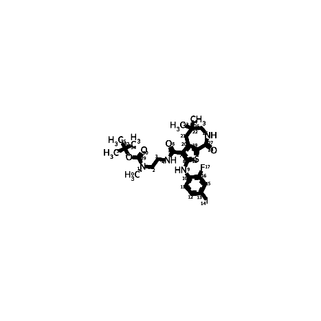 CN(CCNC(=O)c1c(Nc2ccc(I)cc2F)sc2c1CC(C)(C)CNC2=O)C(=O)OC(C)(C)C